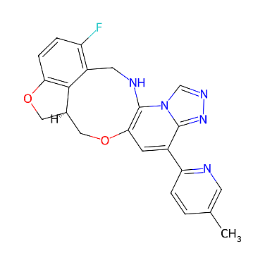 Cc1ccc(-c2cc3c(n4cnnc24)NCc2c(F)ccc4c2[C@H](CO4)CO3)nc1